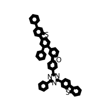 c1ccc(-c2ccc3c(c2)sc2cc(-c4ccc5oc6cc(-c7nc(-c8ccccc8)nc(-c8ccc9c(c8)sc8ccccc89)n7)ccc6c5c4)c(-c4ccccc4)cc23)cc1